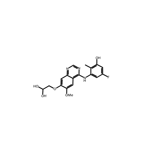 COc1cc2c(Nc3cc(F)cc(O)c3C)ncnc2cc1OCC(O)O